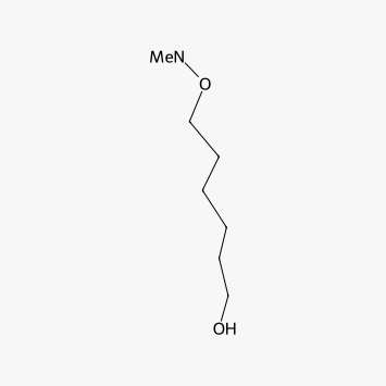 CNOCCCCCCO